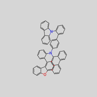 c1ccc(N(c2ccc(-c3ccccc3-n3c4ccccc4c4ccccc43)cc2)c2cc3ccccc3c3ccccc23)c(-c2cccc3oc4ccccc4c23)c1